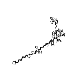 CC[C@H](C)[C@H](NC(=O)[C@H](CCCn1ccnc1[N+](=O)[O-])NC(=O)OC(C)(C)C)C(=O)NCCCOCCCCC(=O)NCCOCCOCCCCCCCl